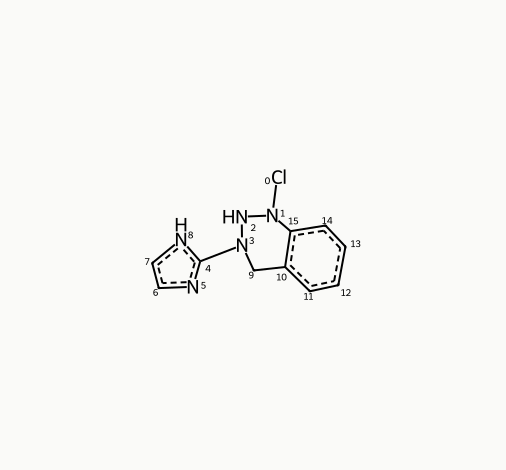 ClN1NN(c2ncc[nH]2)Cc2ccccc21